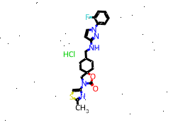 Cc1nc(N2CC3(CCC(CNc4ccn(-c5ccccc5F)n4)CC3)OC2=O)cs1.Cl